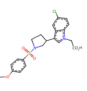 CC(C)(C)Oc1ccc(S(=O)(=O)N2CCC(c3cn(CC(=O)O)c4ccc(Cl)cc34)C2)cc1